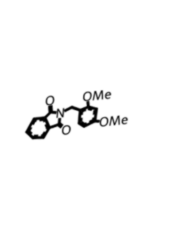 COc1ccc(CN2C(=O)c3ccccc3C2=O)c(OC)c1